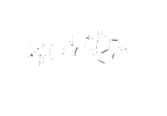 CC(C)n1cc2c3c(cccc31)[C@H]1C[C@@H](C(=O)N[C@H]3CC[C@H](NS(C)(=O)=O)CC3)CN(C)[C@@H]1C2